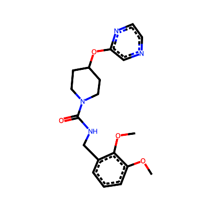 COc1cccc(CNC(=O)N2CCC(Oc3cnccn3)CC2)c1OC